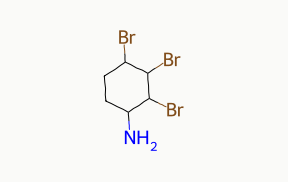 NC1CCC(Br)C(Br)C1Br